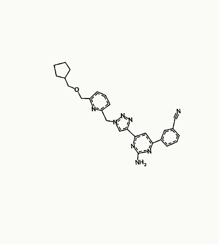 N#Cc1cccc(-c2cc(-c3cn(Cc4cccc(COCC5CCCC5)n4)nn3)nc(N)n2)c1